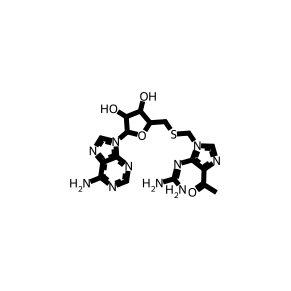 CC(=O)c1ncn(CSCC2OC(n3cnc4c(N)ncnc43)C(O)C2O)c1N=C(N)N